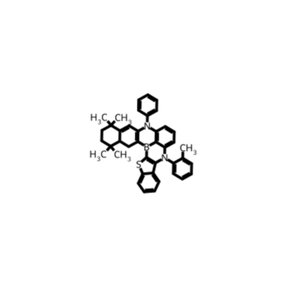 Cc1ccccc1N1c2cccc3c2B(C2=C(C=C4C(C2)C(C)(C)CCC4(C)C)N3c2ccccc2)c2sc3ccccc3c21